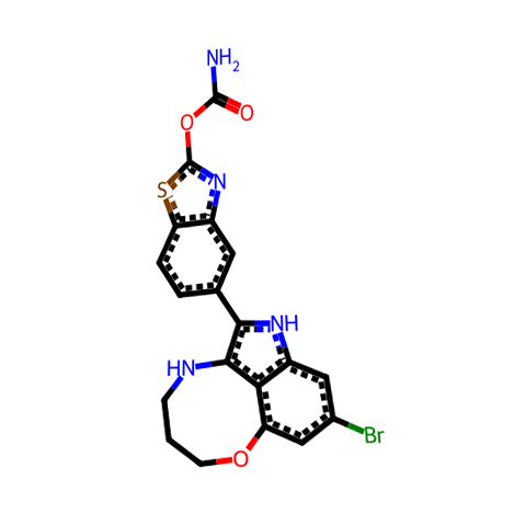 NC(=O)Oc1nc2cc(-c3[nH]c4cc(Br)cc5c4c3NCCCO5)ccc2s1